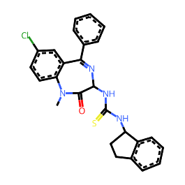 CN1C(=O)C(NC(=S)NC2CCc3ccccc32)N=C(c2ccccc2)c2cc(Cl)ccc21